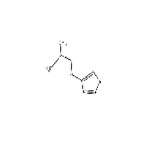 CC(C)C[CH]c1ccsc1